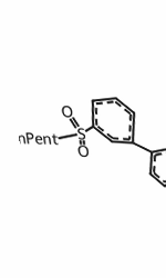 CCCCCS(=O)(=O)c1cccc(-c2ccccc2)c1